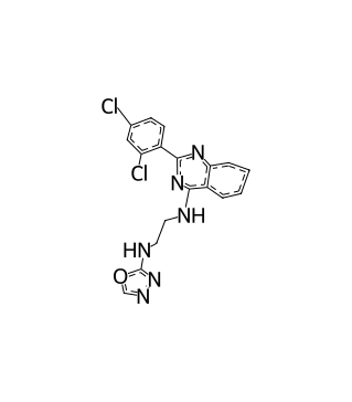 Clc1ccc(-c2nc(NCCNc3nnco3)c3ccccc3n2)c(Cl)c1